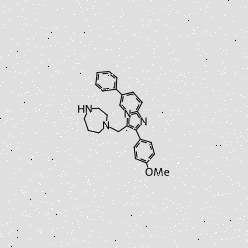 COc1ccc(-c2nc3ccc(-c4ccccc4)cn3c2CN2CCCNCC2)cc1